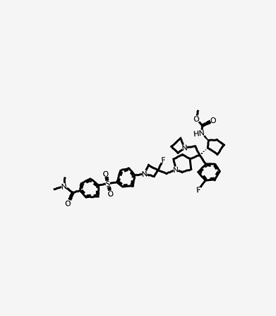 COC(=O)N[C@H]1CCC[C@@H]1C(CN1CCC1)(c1cccc(F)c1)C1CCN(CC2(F)CN(c3ccc(S(=O)(=O)c4ccc(C(=O)N(C)C)cc4)cc3)C2)CC1